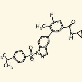 Cc1c(F)cc(C(=O)NC2CC2)cc1-c1ccc2c(cnn2S(=O)(=O)c2ccc(C(C)C)cc2)c1